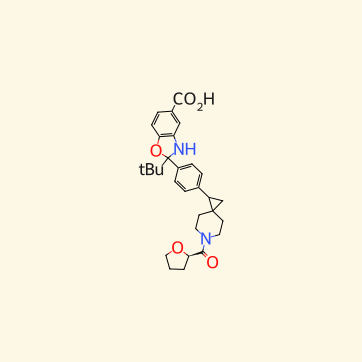 CC(C)(C)C1(c2ccc(C3CC34CCN(C(=O)[C@H]3CCCO3)CC4)cc2)Nc2cc(C(=O)O)ccc2O1